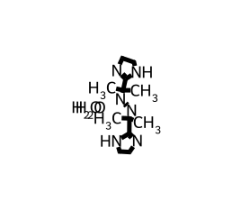 CC(C)(/N=N/C(C)(C)C1=NCCN1)C1=NCCN1.O.O